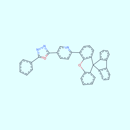 c1ccc(-c2nnc(-c3ccc(-c4cccc5c4Oc4ccccc4C54c5ccccc5-c5ccccc54)nc3)o2)cc1